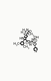 Cc1cc(C)cc(-c2[nH]c3sc(C(C)(C)C(N)=O)cc3c2[C@@H](C)CNC(=NC(=O)O)N2CCC(c3ccncc3)C2)c1